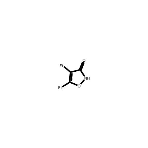 CCc1o[nH]c(=O)c1CC